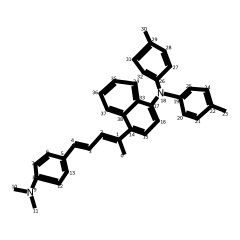 CC(=CC=Cc1ccc(N(C)C)cc1)c1ccc(N(c2ccc(C)cc2)c2ccc(C)cc2)c2ccccc12